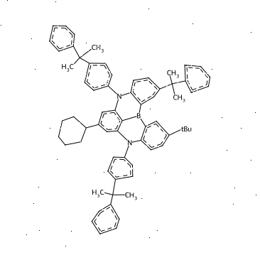 CC(C)(C)c1ccc2c(c1)B1c3cc(C(C)(C)c4ccccc4)ccc3N(c3ccc(C(C)(C)c4ccccc4)cc3)c3cc(C4CCCCC4)cc(c31)N2c1ccc(C(C)(C)c2ccccc2)cc1